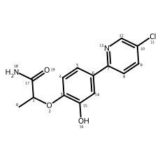 CC(Oc1ccc(-c2ccc(Cl)cn2)cc1O)C(N)=O